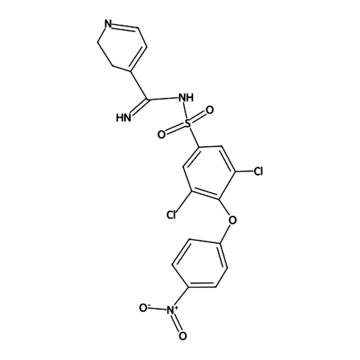 N=C(NS(=O)(=O)c1cc(Cl)c(Oc2ccc([N+](=O)[O-])cc2)c(Cl)c1)C1=CC=NCC1